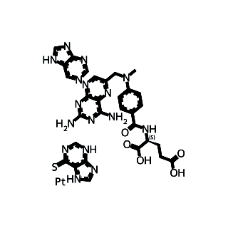 CN(Cc1cnc2nc(N)nc(N)c2n1)c1ccc(C(=O)N[C@@H](CCC(=O)O)C(=O)O)cc1.S=c1nc[nH]c2nc[nH]c12.[Pt].c1ncc2[nH]cnc2n1